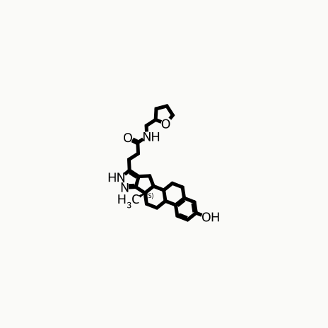 C[C@]12CCC3c4ccc(O)cc4CCC3C1Cc1c2n[nH]c1CCC(=O)NCC1CCCO1